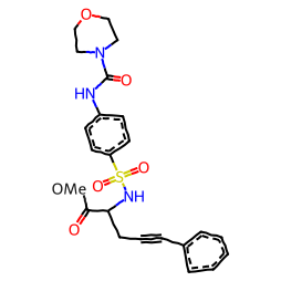 COC(=O)C(CC#Cc1ccccc1)NS(=O)(=O)c1ccc(NC(=O)N2CCOCC2)cc1